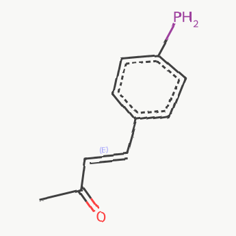 CC(=O)/C=C/c1ccc(P)cc1